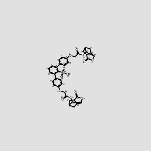 O=C(COc1ccc(-c2cccc(-c3ccc(OCC(=O)OC4C5CC6C(=O)OC4C6C5)cc3)c2S(=O)(=O)O)cc1)OC1C2CC3C(=O)OC1C3C2